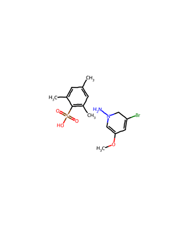 COC1=CN(N)CC(Br)=C1.Cc1cc(C)c(S(=O)(=O)O)c(C)c1